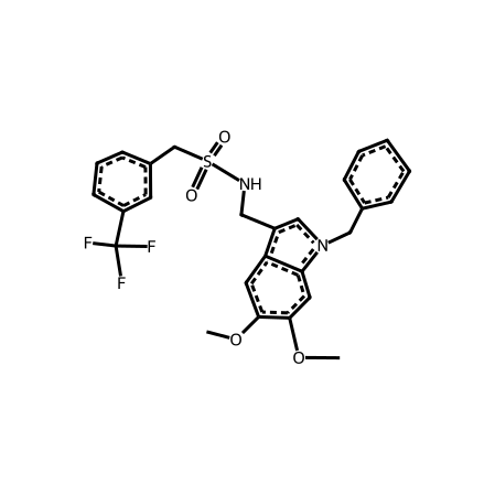 COc1cc2c(CNS(=O)(=O)Cc3cccc(C(F)(F)F)c3)cn(Cc3ccccc3)c2cc1OC